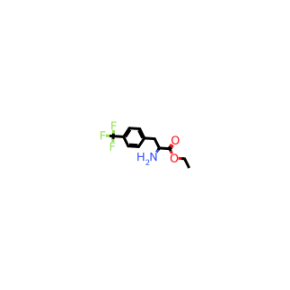 CCOC(=O)C(N)Cc1ccc(C(F)(F)F)cc1